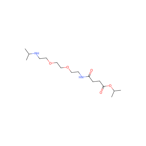 CC(C)NCCOCCOCCNC(=O)CCC(=O)OC(C)C